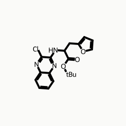 CC(C)(C)OC(=O)C(Cc1ccco1)Nc1nc2ccccc2nc1Cl